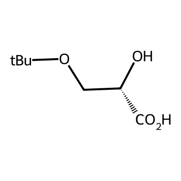 CC(C)(C)OC[C@H](O)C(=O)O